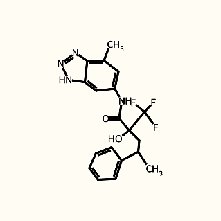 Cc1cc(NC(=O)C(O)(CC(C)c2ccccc2)C(F)(F)F)cc2[nH]nnc12